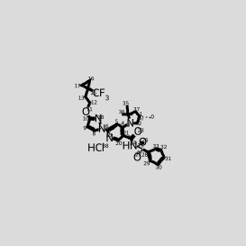 C[C@@H]1CN(c2cc(-n3ccc(OCCC4(C(F)(F)F)CC4)n3)ncc2C(=O)NS(=O)(=O)c2ccccc2)C(C)(C)C1.Cl